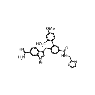 CCn1cc(Cc2ccc(C(=O)NCc3nccs3)cc2-c2ccc(OC)cc2C(=O)O)c2ccc(C(=N)N)cc21